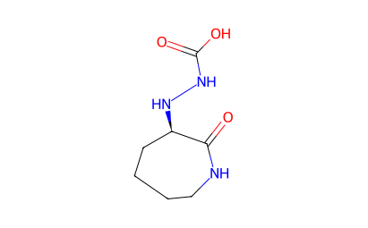 O=C(O)NN[C@@H]1CCCCNC1=O